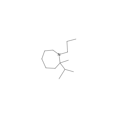 CCCN1CCCCCC1(C)C(C)C